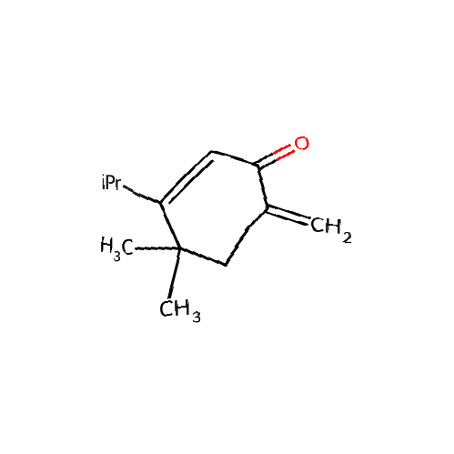 C=C1CC(C)(C)C(C(C)C)=CC1=O